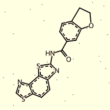 O=C(Nc1nc2ccc3scnc3c2s1)c1ccc2c(c1)OCC2